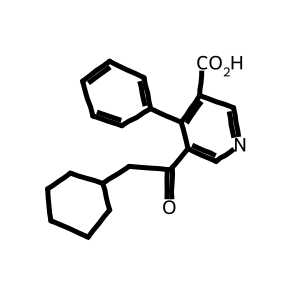 O=C(O)c1cncc(C(=O)CC2CCCCC2)c1-c1ccccc1